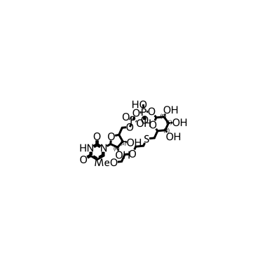 COCCOCCSCC1OC(OP(=O)(O)OP(=O)(O)OCC2OC(n3ccc(=O)[nH]c3=O)[C@H](O)[C@@H]2O)[C@@H](O)[C@@H](O)[C@H]1O